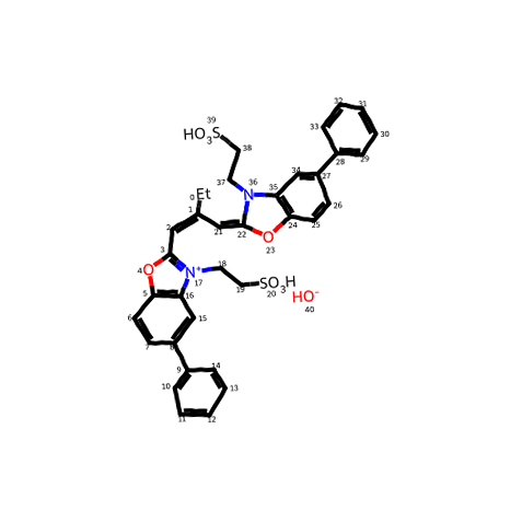 CCC(=Cc1oc2ccc(-c3ccccc3)cc2[n+]1CCS(=O)(=O)O)C=C1Oc2ccc(-c3ccccc3)cc2N1CCS(=O)(=O)O.[OH-]